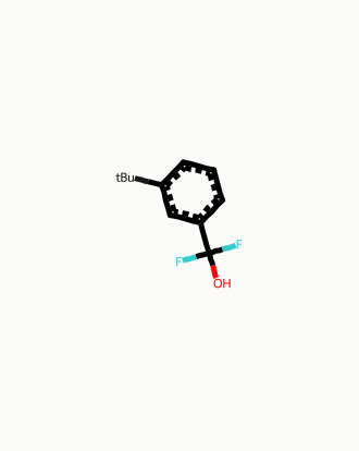 CC(C)(C)c1cccc(C(O)(F)F)c1